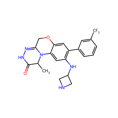 CC1C(=O)NN=C2COc3cc(-c4cccc(C(F)(F)F)c4)c(NC4CNC4)cc3N21